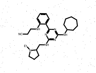 CCN1CCCC1CNc1nc(NC2CCCCCC2)nc(-c2ccccc2NCCC#N)n1